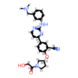 CN(C)Cc1cccc(Nc2nccc(-c3ccc(O[C@@H]4CCN(C(=O)CO)C4)c(C#N)c3)n2)c1